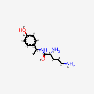 CC(NC(=O)[C@H](N)CCCN)c1ccc(O)cc1